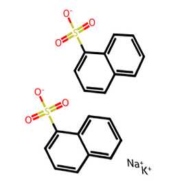 O=S(=O)([O-])c1cccc2ccccc12.O=S(=O)([O-])c1cccc2ccccc12.[K+].[Na+]